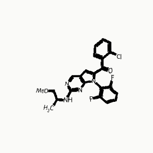 COCC(C)Nc1ncc2cc(C(=O)c3ccccc3Cl)n(-c3c(F)cccc3F)c2n1